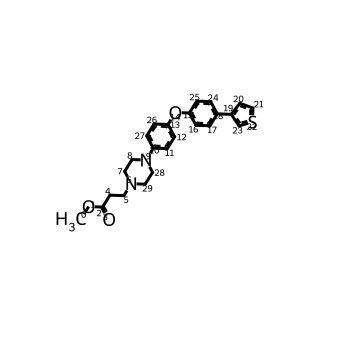 COC(=O)CCN1CCN(c2ccc(Oc3ccc(-c4ccsc4)cc3)cc2)CC1